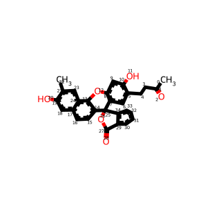 CC(=O)CCc1cc2c(cc1O)Oc1c(ccc3cc(O)c(C)cc13)C21OC(=O)c2ccccc21